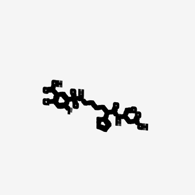 O=CC(CC(=O)O)NC(=O)C(CCCCNS(=O)(=O)c1cc(C(=O)O)c(Cl)cc1F)c1cccs1